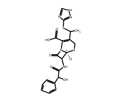 CC(Sc1nc[nH]n1)C1=C(C(=O)O)N2C(=O)C(NC(=O)C(O)c3ccccc3)[C@@H]2SC1